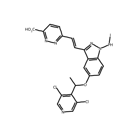 CC(Oc1ccc2c(c1)c(/C=C/c1ccc(C(=O)O)nn1)nn2PI)c1c(Cl)cncc1Cl